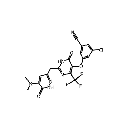 CN(C)c1cc(Cc2nc(C(F)(F)F)c(Oc3cc(Cl)cc(C#N)c3)c(=O)[nH]2)n[nH]c1=O